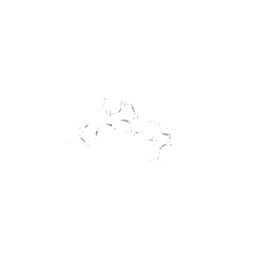 CCn1c(-c2cnc(C)nc2)nc2c(NC3CCc4cnc(C(C)C)n4C3)ncnc21